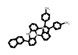 Cc1ccc(-c2c(-c3ccc(C)cc3)n3c4c(cccc24)B2c4cccc(-c5ccc6ccccc6c5)c4Nc4cccc-3c42)cc1